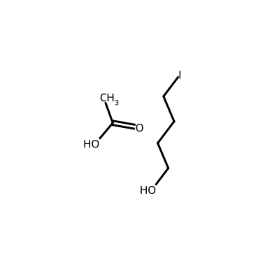 CC(=O)O.OCCCCI